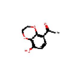 CCCC(=O)c1ccc(O)c2c1OCCO2